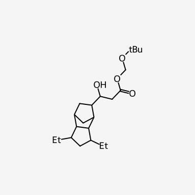 CCC1CC(CC)C2C3CC(CC3C(O)CC(=O)OCOC(C)(C)C)C12